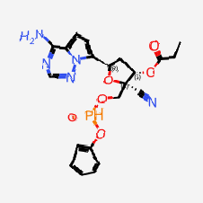 CCC(=O)O[C@H]1C[C@H](c2ccc3c(N)ncnn23)O[C@]1(C#N)CO[PH](=O)Oc1ccccc1